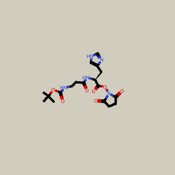 CC(C)(C)OC(=O)NCCC(=O)N[C@@H](Cc1c[nH]cn1)C(=O)ON1C(=O)CCC1=O